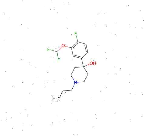 CCCN1CCC(O)(c2ccc(F)c(OC(F)F)c2)CC1